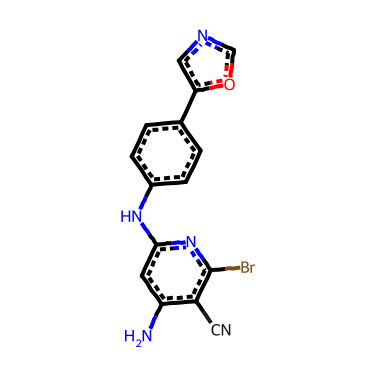 N#Cc1c(N)cc(Nc2ccc(-c3cnco3)cc2)nc1Br